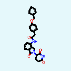 O=C1CCC(N2Cc3c(NC(=O)Cc4ccc(OCc5ccccc5)cc4)cccc3C2=O)C(=O)N1